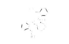 CC(C)Cc1ccccc1N1CN(c2ccccc2CC(C)C)[C@H]2CCCC[C@@H]21